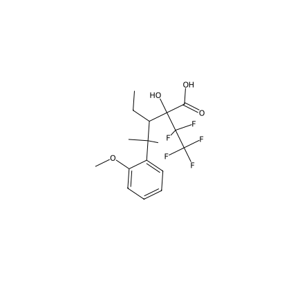 CCC(C(C)(C)c1ccccc1OC)C(O)(C(=O)O)C(F)(F)C(F)(F)F